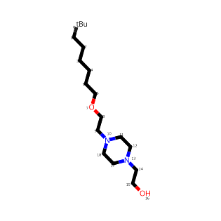 CC(C)(C)CCCCCCOCCN1CCN(CCO)CC1